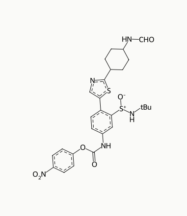 CC(C)(C)N[S+]([O-])c1cc(NC(=O)Oc2ccc([N+](=O)[O-])cc2)ccc1-c1cnc(C2CCC(NC=O)CC2)s1